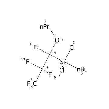 CCCC[Si](Cl)(Cl)C(F)(OCCC)C(F)(F)C(F)(F)F